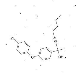 CCCCC#CC(C)(O)c1ccc(Oc2ccc(Cl)cc2)cc1